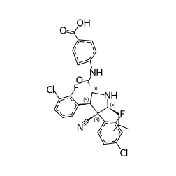 CC(C)C[C@@H]1N[C@@H](C(=O)Nc2ccc(C(=O)O)cc2)[C@H](c2cccc(Cl)c2F)[C@@]1(C#N)c1ccc(Cl)cc1F